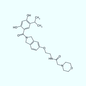 CC(C)c1cc(C(=O)N2Cc3ccc(OCCNC(=O)CN4CCOCC4)cc3C2)c(O)cc1O